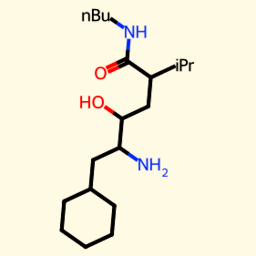 CCCCNC(=O)C(CC(O)C(N)CC1CCCCC1)C(C)C